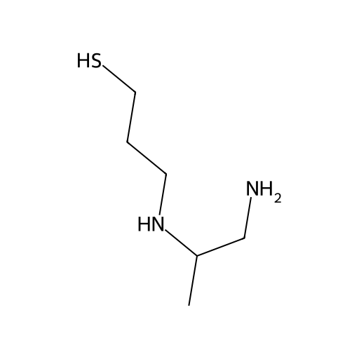 CC(CN)NCCCS